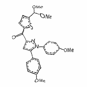 COc1ccc(-c2cc(C(=O)c3ccc(C(OC)OC)s3)nn2-c2ccc(OC)cc2)cc1